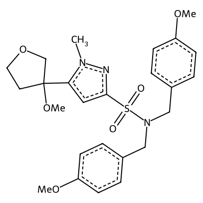 COc1ccc(CN(Cc2ccc(OC)cc2)S(=O)(=O)c2cc(C3(OC)CCOC3)n(C)n2)cc1